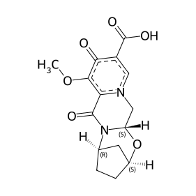 COc1c2n(cc(C(=O)O)c1=O)C[C@@H]1O[C@H]3CC[C@H](C3)N1C2=O